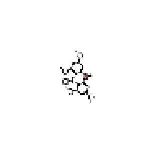 COc1cc(OC)c(P(Cl)c2c(OC)cc(OC)cc2OC)c(OC)c1